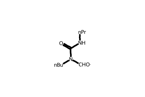 CCCCN([C]=O)C(=O)NCCC